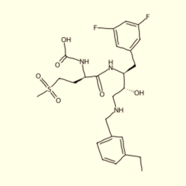 CCc1cccc(CNC[C@@H](O)[C@H](Cc2cc(F)cc(F)c2)NC(=O)[C@@H](CCS(C)(=O)=O)NC(=O)O)c1